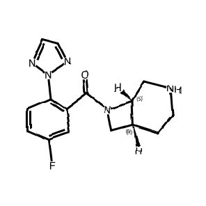 O=C(c1cc(F)ccc1-n1nccn1)N1C[C@H]2CCNC[C@H]21